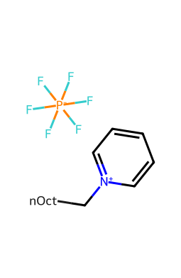 CCCCCCCCC[n+]1ccccc1.F[P-](F)(F)(F)(F)F